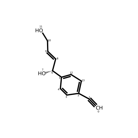 C#Cc1ccc([C@H](O)/C=C/CO)cc1